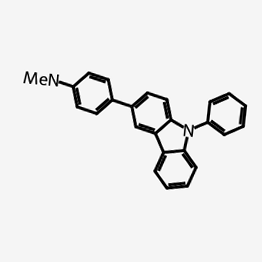 CNc1ccc(-c2ccc3c(c2)c2ccccc2n3-c2ccccc2)cc1